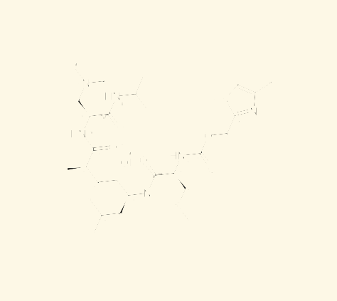 CSC[C@H](NC(=O)OCc1nc(C)cs1)C(=O)N[C@@H](CC(C)C)[C@@H](O)C[C@@H](C)C(=O)N[C@@H](CN(C)C)C(=O)NC(C)C